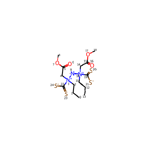 CCC[N+](CC(=O)OC)([N][N+](CCC)(CC(=O)OC)C(=S)[S-])C(=S)[S-]